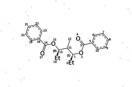 CC[C@H](OC(=O)c1ccccc1)C(C)[C@@H](CC)OC(=O)c1ccccc1